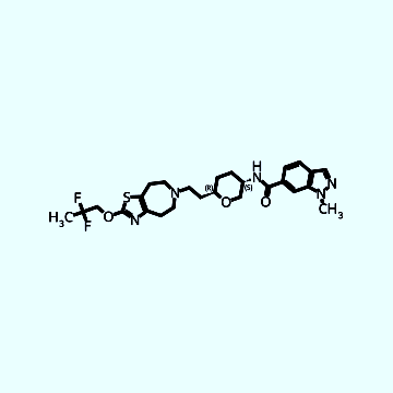 Cn1ncc2ccc(C(=O)N[C@H]3CC[C@H](CCN4CCc5nc(OCC(C)(F)F)sc5CC4)OC3)cc21